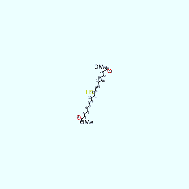 COC(=O)CCCCCCCCCC(S)CCCCCCCCC(=O)OC